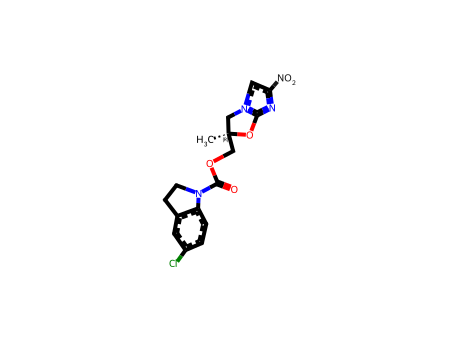 C[C@]1(COC(=O)N2CCc3cc(Cl)ccc32)Cn2cc([N+](=O)[O-])nc2O1